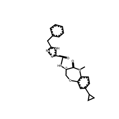 CN1C(=O)[C@H](NC(=O)c2nnc(Cc3ccccc3)[nH]2)COc2cc(C3CC3)ccc21